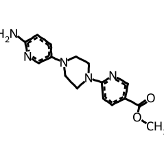 COC(=O)c1ccc(N2CCN(c3ccc(N)nc3)CC2)nc1